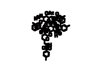 CC(=O)O[C@H]1C(COC(=O)c2ccccc2)O[C@H](O[C@@H]2C(O)C(O[C@H]3OC(CNS(=O)(=O)c4ccc(C)cc4)CCC3NS(=O)(=O)c3ccc(C)cc3)[C@@H](NS(=O)(=O)c3ccc(C)cc3)[C@@H](O)C2NS(=O)(=O)c2ccc(C)cc2)[C@@H](OCc2ccccc2)C1N=[N+]=[N-]